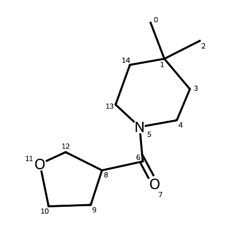 CC1(C)CCN(C(=O)C2CCOC2)CC1